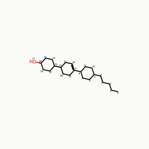 CCCCCC1CCC(C2=CCC(C3CCC(O)CC3)CC2)CC1